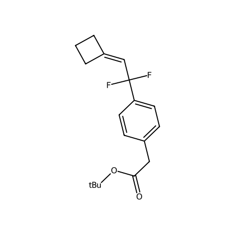 CC(C)(C)OC(=O)Cc1ccc(C(F)(F)C=C2CCC2)cc1